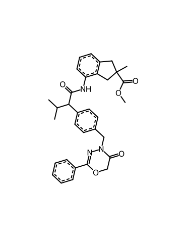 COC(=O)C1(C)Cc2cccc(NC(=O)C(c3ccc(CN4N=C(c5ccccc5)OCC4=O)cc3)C(C)C)c2C1